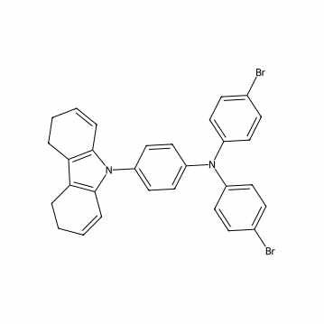 Brc1ccc(N(c2ccc(Br)cc2)c2ccc(-n3c4c(c5c3C=CCC5)CCC=C4)cc2)cc1